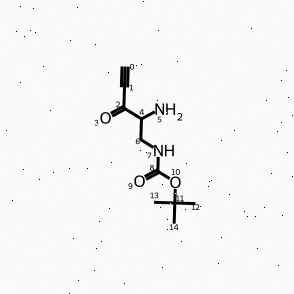 C#CC(=O)C(N)CNC(=O)OC(C)(C)C